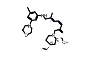 C=C(/C=C\C=C(/C)CNc1cc(C)cc(N2CCOCC2)c1)CN1CC[C@@H](CC)C[C@H]1CO